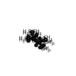 CC1(C)CCC(C)(C)c2cc(N3c4ccccc4B4c5cc6c(cc5N(c5ccccc5)c5cc(N7c8ccccc8[Si](C)(C)c8ccccc87)cc3c54)Oc3nc(N4c5ccccc5[Si](C)(C)c5ccccc54)nc4c3B6c3oc5ccccc5c3N4c3ccc4c(c3)C(C)(C)CCC4(C)C)ccc21